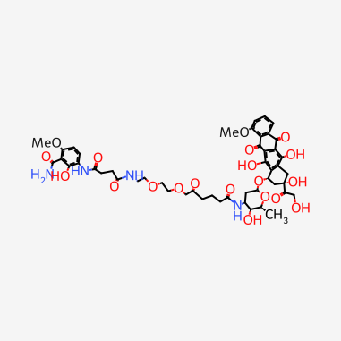 COc1cccc2c1C(=O)c1c(O)c3c(c(O)c1C2=O)C[C@@](O)(C(=O)CO)C[C@H]3OC1C[C@H](NC(=O)CCCC(=O)COCCOCCNC(=O)CCC(=O)Nc2ccc(OC)c(C(N)=O)c2O)[C@H](O)[C@H](C)O1